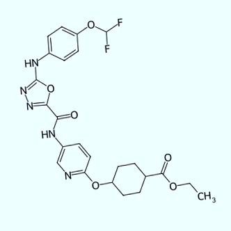 CCOC(=O)C1CCC(Oc2ccc(NC(=O)c3nnc(Nc4ccc(OC(F)F)cc4)o3)cn2)CC1